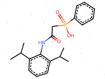 CC(C)c1cccc(C(C)C)c1NC(=O)CP(=O)(O)c1ccccc1